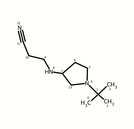 CC(C)(C)N1CCC(NCCC#N)C1